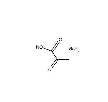 CC(=O)C(=O)O.[BaH2]